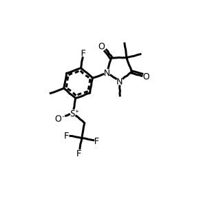 Cc1cc(F)c(N2C(=O)C(C)(C)C(=O)N2C)cc1[S+]([O-])CC(F)(F)F